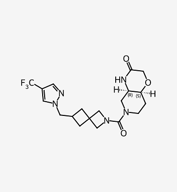 O=C1CO[C@H]2CCN(C(=O)N3CC4(CC(Cn5cc(C(F)(F)F)cn5)C4)C3)C[C@H]2N1